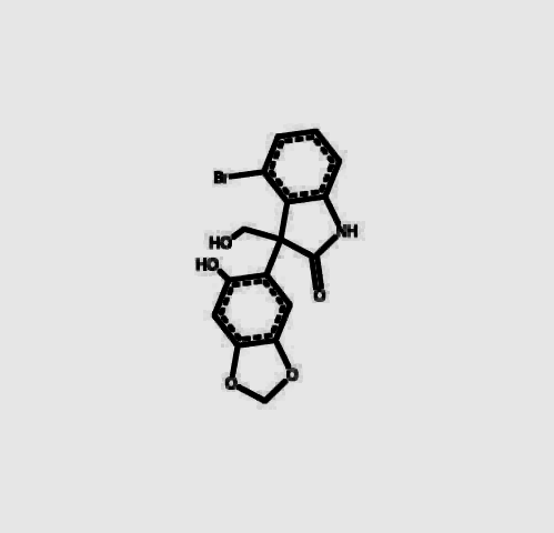 O=C1Nc2cccc(Br)c2C1(CO)c1cc2c(cc1O)OCO2